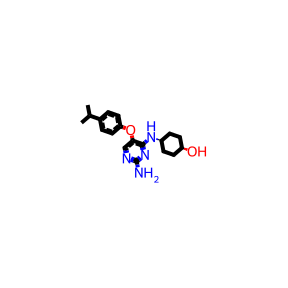 CC(C)c1ccc(Oc2cnc(N)nc2N[C@H]2CC[C@H](O)CC2)cc1